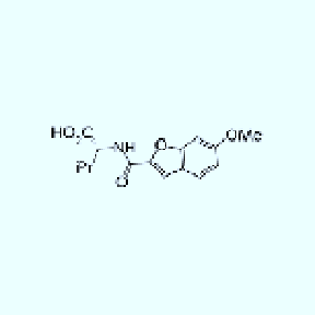 COc1ccc2cc(C(=O)N[C@@H](C(=O)O)C(C)C)oc2c1